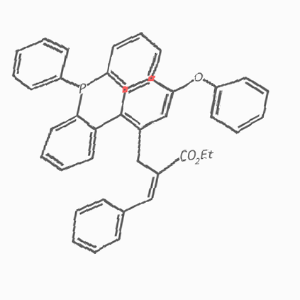 CCOC(=O)/C(=C/c1ccccc1)Cc1cc(Oc2ccccc2)ccc1-c1ccccc1P(c1ccccc1)c1ccccc1